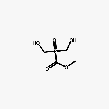 COC(=O)P(=O)(CO)CO